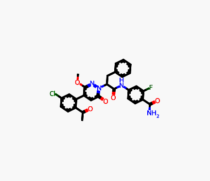 COc1nn(C(Cc2ccccc2)C(=O)Nc2ccc(C(N)=O)c(F)c2)c(=O)cc1-c1cc(Cl)ccc1C(C)=O